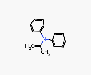 C=C(C)N(c1ccccc1)c1ccccc1